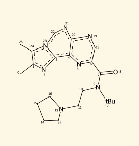 Cc1nc2c3nc(C(=O)N(CCN4CCCC4)C(C)(C)C)cnc3ncn2c1C